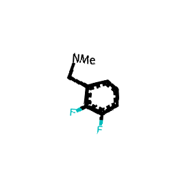 CNCc1cccc(F)c1F